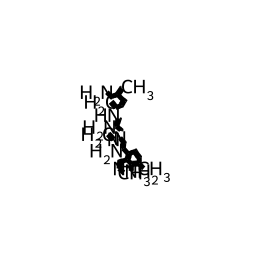 C=NN(/C=C(\N)c1ccc(C)c(N)c1/C=N\C)C/C(N)=C/NC(=C)/C=C\C(=C/C)CN